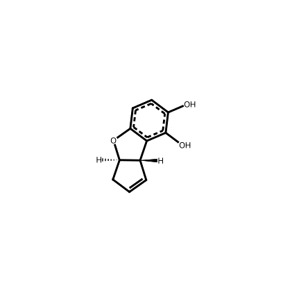 Oc1ccc2c(c1O)[C@@H]1C=CC[C@H]1O2